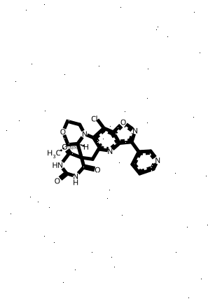 C[C@@H]1OCCN2c3c(nc4c(-c5cccnc5)noc4c3Cl)CC3(C(=O)NC(=O)NC3=O)[C@@H]12